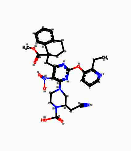 CCc1ncccc1Oc1nc(CC2(C(=O)OC)CCCc3ccccc32)c([N+](=O)[O-])c(N2CCN(C(=O)O)C(CC#N)C2)n1